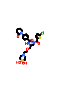 O=C(NC(CNC(=O)c1ccc(Cl)s1)COCCN1CCS(O)(O)CC1)c1ccc(N2CCCCC2=O)cc1